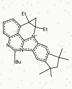 CCC12CC1(CC)[n+]1c3cc4c(cc3n3c(C(C)(C)C)nc5cccc2c5c31)C(C)(C)CC4(C)C